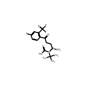 C[C@H](CCC(=O)c1ccc(F)cc1C(F)(F)F)N(C(=O)O)C(C)(C)C